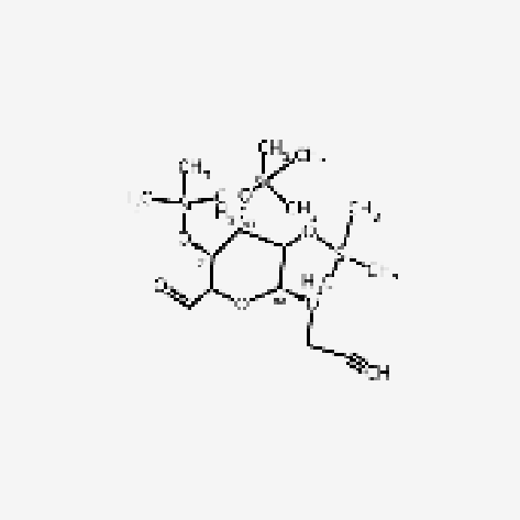 C#CCO[C@H]1OC(C=O)[C@@H](O[Si](C)(C)C)[C@H](O[Si](C)(C)C)C1O[Si](C)(C)C